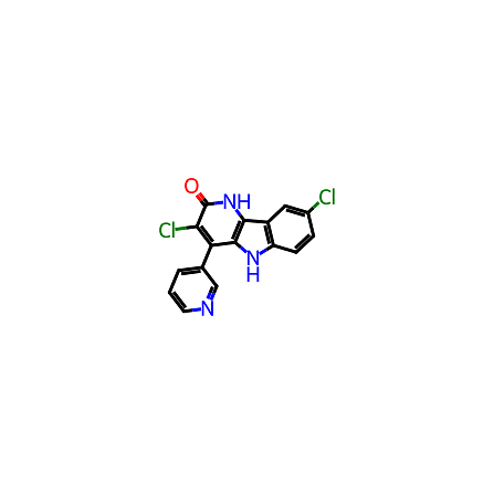 O=c1[nH]c2c([nH]c3ccc(Cl)cc32)c(-c2cccnc2)c1Cl